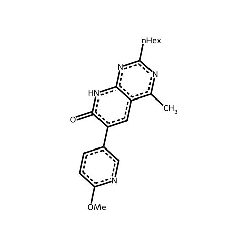 CCCCCCc1nc(C)c2cc(-c3ccc(OC)nc3)c(=O)[nH]c2n1